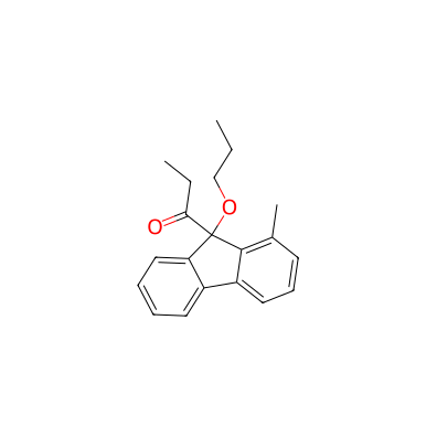 CCCOC1(C(=O)CC)c2ccccc2-c2cccc(C)c21